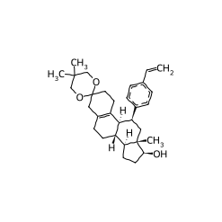 C=Cc1ccc([C@H]2C[C@]3(C)[C@@H](O)CC[C@H]3[C@@H]3CCC4=C(CCC5(C4)OCC(C)(C)CO5)[C@H]32)cc1